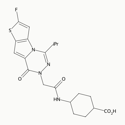 CC(C)c1nn(CC(=O)NC2CCC(C(=O)O)CC2)c(=O)c2cc3sc(F)cc3n12